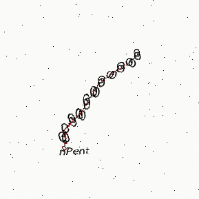 C=C(C)C(=O)OCCCCCC(=O)OCCCCCC(=O)OCCCCCC(=O)OCCCCCC(=O)OCCCCCC(=O)OCCCCCC(=O)OCCCCCC(=O)OCCCCCC(=O)OCCCCCCOc1ccc(C(=O)Oc2ccc(C3CCC(CCCCC)CC3)cc2)cc1